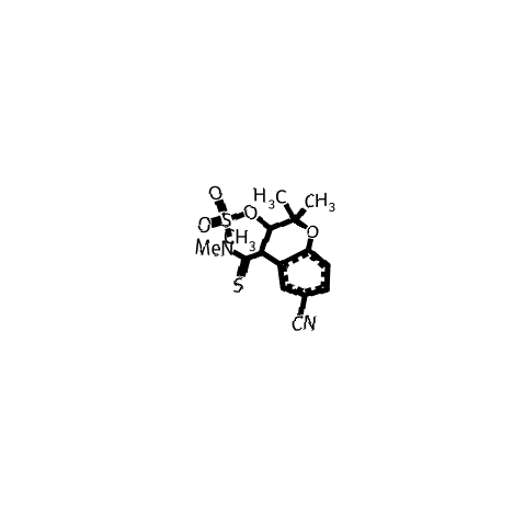 CNC(=S)C1c2cc(C#N)ccc2OC(C)(C)C1OS(C)(=O)=O